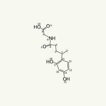 CC(CCC(=O)NCC(=O)O)c1ccc(O)cc1O